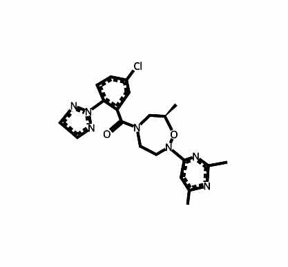 Cc1cc(N2CCN(C(=O)c3cc(Cl)ccc3-n3nccn3)C[C@@H](C)O2)nc(C)n1